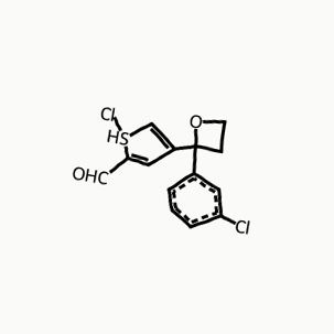 O=CC1=CC(C2(c3cccc(Cl)c3)CCO2)=C[SH]1Cl